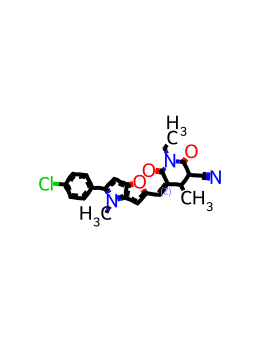 CCN1C(=O)/C(=C\c2cc3c(cc(-c4ccc(Cl)cc4)n3C)o2)C(C)C(C#N)C1=O